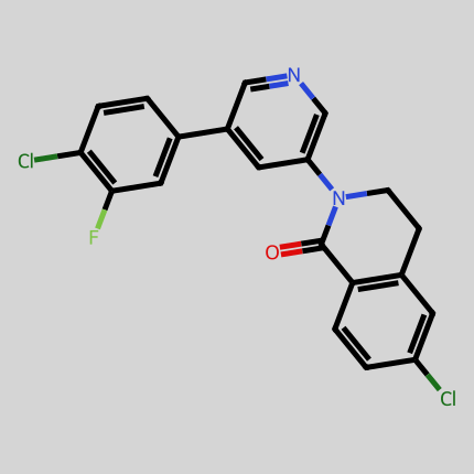 O=C1c2ccc(Cl)cc2CCN1c1cncc(-c2ccc(Cl)c(F)c2)c1